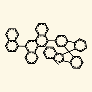 c1ccc2c(c1)-c1ccc(-c3cc4c5ccccc5c(-c5cccc6ccccc56)cc4c4ccccc34)cc1C21c2ccccc2-c2sc3ccccc3c21